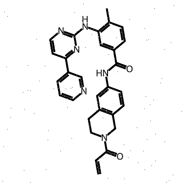 C=CC(=O)N1CCc2cc(NC(=O)c3ccc(C)c(Nc4nccc(-c5cccnc5)n4)c3)ccc2C1